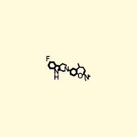 CC1CC=C(N(C)C)Oc2ccc(N3CCc4c([nH]c5ccc(F)cc45)C3)cc21